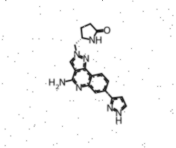 Nc1nc2cc(-c3cc[nH]n3)ccc2c2nn(C[C@@H]3CCC(=O)N3)cc12